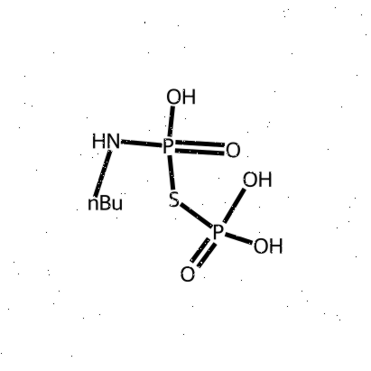 CCCCNP(=O)(O)SP(=O)(O)O